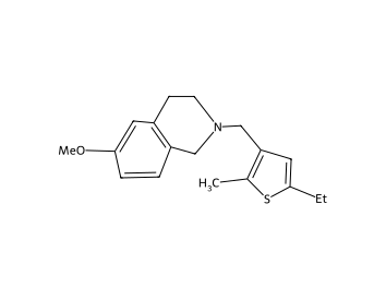 CCc1cc(CN2CCc3cc(OC)ccc3C2)c(C)s1